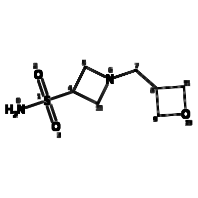 NS(=O)(=O)C1CN(CC2COC2)C1